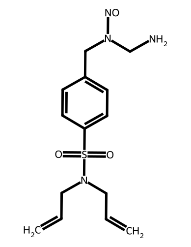 C=CCN(CC=C)S(=O)(=O)c1ccc(CN(CN)N=O)cc1